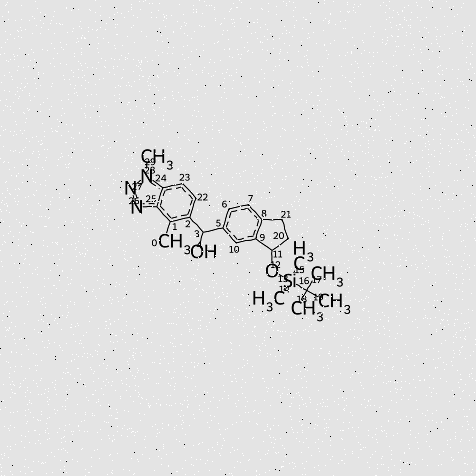 Cc1c(C(O)c2ccc3c(c2)C(O[Si](C)(C)C(C)(C)C)CC3)ccc2c1nnn2C